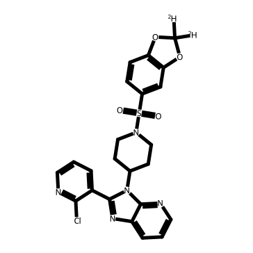 [2H]C1([2H])Oc2ccc(S(=O)(=O)N3CCC(n4c(-c5cccnc5Cl)nc5cccnc54)CC3)cc2O1